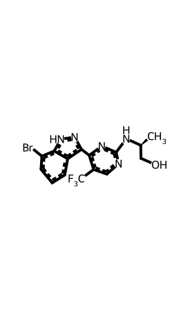 C[C@@H](CO)Nc1ncc(C(F)(F)F)c(-c2n[nH]c3c(Br)cccc23)n1